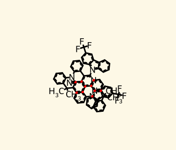 CC1(C)c2ccccc2N(c2ccccc2-c2c(-n3c4ccccc4c4cc(C(F)(F)F)ccc43)nc(-n3c4ccccc4c4cc(C(F)(F)F)ccc43)c(-c3ccccc3N3c4ccccc4C(C)(C)c4ccccc43)c2C#N)c2ccccc21